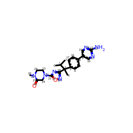 CC(C)C(C)(c1ccc(-c2cnc(N)nc2)cc1)c1noc(N2CCN(C)C(=O)C2)n1